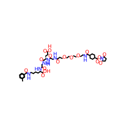 Cc1cccc(C(=O)NCCCCC(NC(=O)CNC(=O)[C@@H](CCC(=O)O)NC(=O)CNC(=O)CCOCCOCCOCCNC(=O)C2CCC(C(=O)ON3C(=O)CCC3=O)CC2)C(=O)O)c1